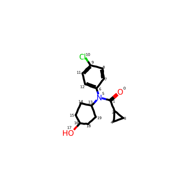 O=C(C1CC1)N(c1ccc(Cl)cc1)C1CCC(O)CC1